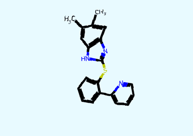 Cc1cc2nc(Sc3ccccc3-c3ccccn3)[nH]c2cc1C